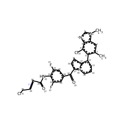 Cc1cc2c(ncn2C)c(Cl)c1-c1cccn2c(C(=O)c3cc(F)c(NC(=O)/C=C/CCl)c(F)c3)ccc12